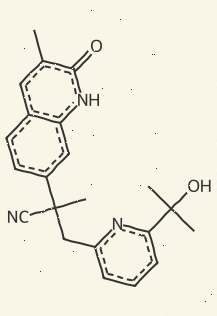 Cc1cc2ccc(C(C)(C#N)Cc3cccc(C(C)(C)O)n3)cc2[nH]c1=O